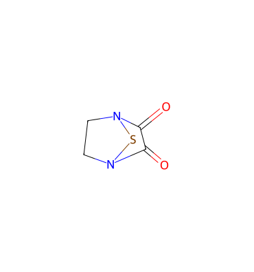 O=c1c(=O)n2sn1CC2